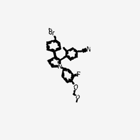 COCOc1ccc(-n2ccc(-c3ccc(Br)cc3)c2-c2ccc(C#N)cc2C)cc1F